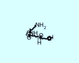 COC(=O)C(CCCCNC(=O)CCCc1ccc(I)cc1)NC(=O)C(C)CCCCN